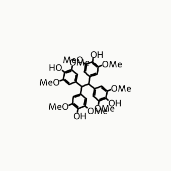 COc1cc(C(c2cc(OC)c(O)c(OC)c2)C(c2cc(OC)c(O)c(OC)c2)c2cc(OC)c(O)c(OC)c2)cc(OC)c1O